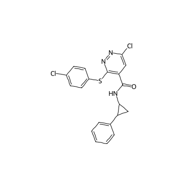 O=C(NC1CC1c1ccccc1)c1cc(Cl)nnc1Sc1ccc(Cl)cc1